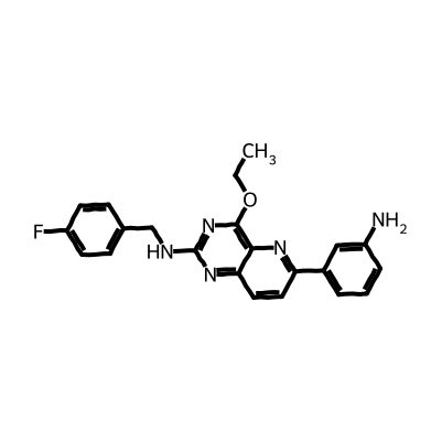 CCOc1nc(NCc2ccc(F)cc2)nc2ccc(-c3cccc(N)c3)nc12